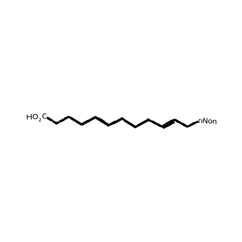 CCCCCCCCCCC=CCCCCCCCCC(=O)O